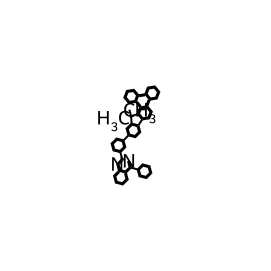 CC1(C)c2cc(-c3cccc(-c4nc(-c5ccccc5)c5ccccc5n4)c3)ccc2-c2ccc3c4ccccc4c4ccccc4c3c21